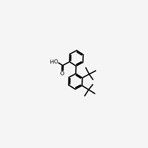 CC(C)(C)c1cccc(-c2ccccc2C(=O)O)c1C(C)(C)C